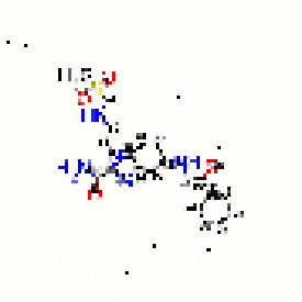 CS(=O)(=O)CNCCn1c(C(N)=O)nc2cc(NCC(=O)c3ccccc3)ccc21